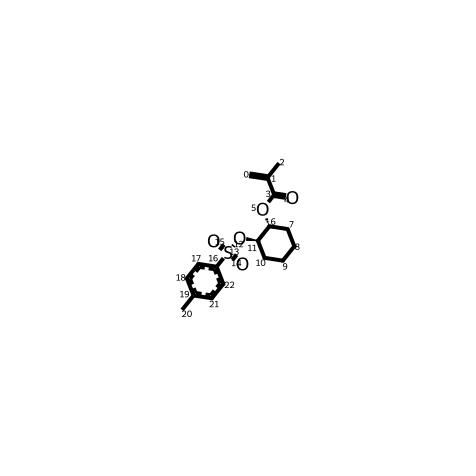 C=C(C)C(=O)O[C@@H]1CCCC[C@H]1OS(=O)(=O)c1ccc(C)cc1